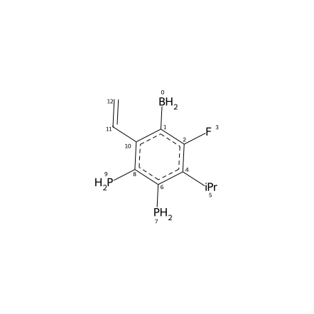 Bc1c(F)c(C(C)C)c(P)c(P)c1C=C